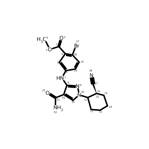 COC(=O)c1cc(Nc2nn(C3CCCC[C@@H]3C#N)cc2C(N)=O)ccc1Br